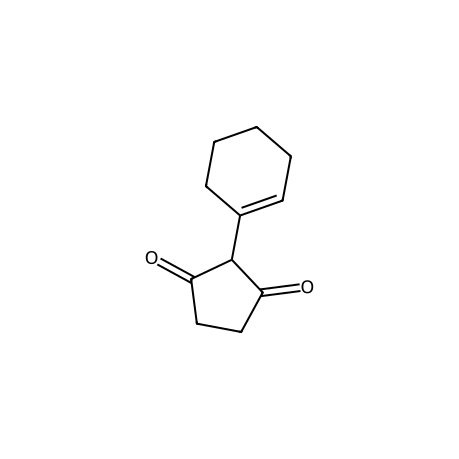 O=C1CCC(=O)C1C1=CCCCC1